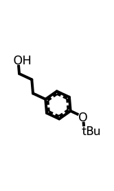 CC(C)(C)Oc1ccc(CCCO)cc1